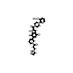 COc1cccnc1N1CCN(C(=O)c2cc3c(Cl)cc(C4=CCCN(C(=O)CCn5ccnn5)C4)c(F)c3[nH]2)CC1